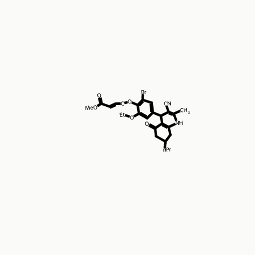 CCCC1CC(=O)C2=C(C1)NC(C)=C(C#N)C2c1cc(Br)c(OCC=CC(=O)OC)c(OCC)c1